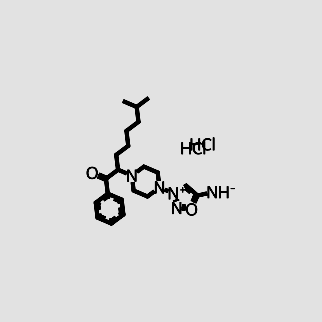 CC(C)CCCCC(C(=O)c1ccccc1)N1CCN([n+]2cc([NH-])on2)CC1.Cl.Cl